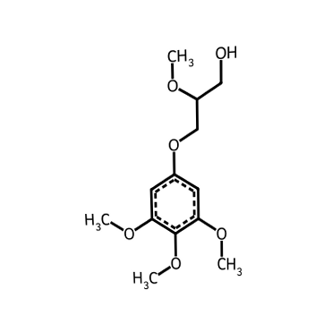 COc1cc(OCC(CO)OC)cc(OC)c1OC